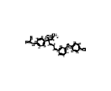 C=CC(C)(CCCc1cccc(Oc2ccc(Cl)cc2)c1)c1ccc(OC(F)F)cc1